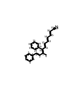 CC(C=Cc1ccccc1)=C(C=CC=CC=CC#N)c1ccccc1